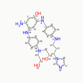 Nc1cc(O)c(Nc2ccc(NCCCn3ccnc3)cc2)cc1Nc1ccc(N(CCO)CCO)cc1